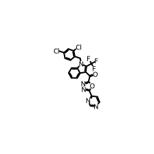 O=C(c1nnc(-c2ccncn2)o1)c1c(C(F)(F)F)n(Cc2ccc(Cl)cc2Cl)c2ccccc12